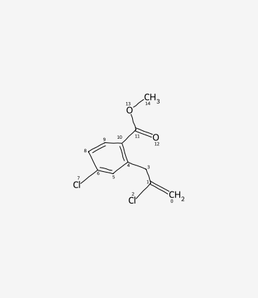 C=C(Cl)Cc1cc(Cl)ccc1C(=O)OC